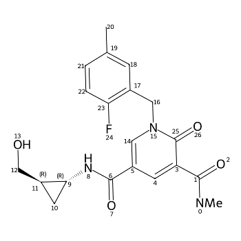 CNC(=O)c1cc(C(=O)N[C@@H]2C[C@H]2CO)cn(Cc2cc(C)ccc2F)c1=O